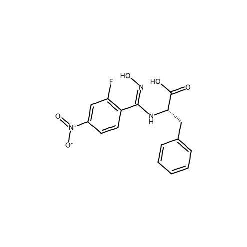 O=C(O)[C@H](Cc1ccccc1)N/C(=N/O)c1ccc([N+](=O)[O-])cc1F